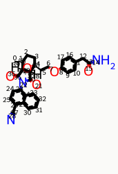 C[C@@]12CC[C@@](CCOc3ccc(CC(N)=O)cc3)(O1)[C@H]1C(=O)N(c3ccc(C#N)c4ccccc34)C(=O)[C@H]12